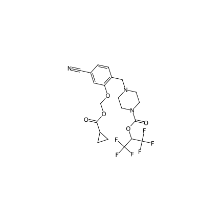 N#Cc1ccc(CN2CCN(C(=O)OC(C(F)(F)F)C(F)(F)F)CC2)c(OCOC(=O)C2CC2)c1